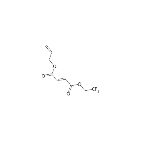 C=CCOC(=O)C=CC(=O)OCC(F)(F)F